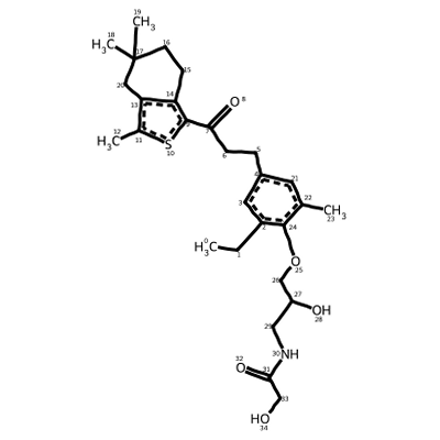 CCc1cc(CCC(=O)c2sc(C)c3c2CCC(C)(C)C3)cc(C)c1OCC(O)CNC(=O)CO